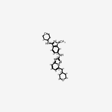 Cn1nc(NC2CCOCC2)c2ccc(Nc3nc4cccc(CC5CCOCC5)n4n3)cc21